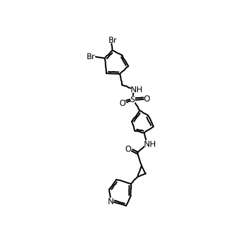 O=C(Nc1ccc(S(=O)(=O)NCc2ccc(Br)c(Br)c2)cc1)C1CC1c1ccncc1